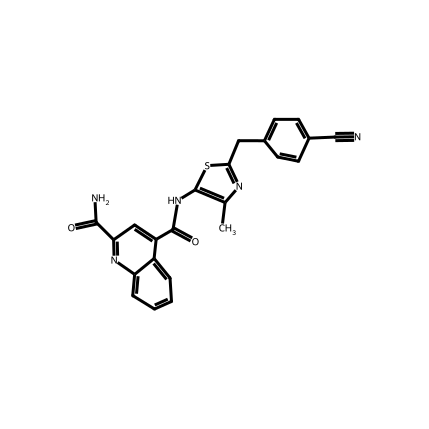 Cc1nc(Cc2ccc(C#N)cc2)sc1NC(=O)c1cc(C(N)=O)nc2ccccc12